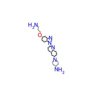 NCCCOc1ccc2c(c1)ncn2-c1ccc2cc(N3CCC(N)CC3)ccc2n1